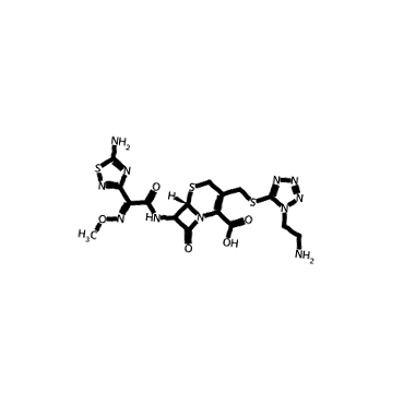 CON=C(C(=O)NC1C(=O)N2C(C(=O)O)=C(CSc3nnnn3CCN)CS[C@@H]12)c1nsc(N)n1